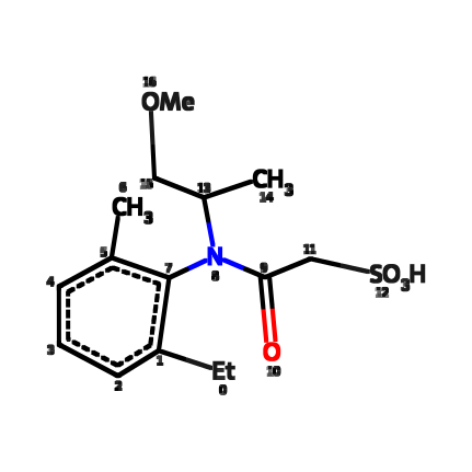 CCc1cccc(C)c1N(C(=O)CS(=O)(=O)O)C(C)COC